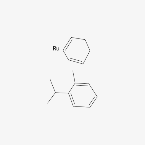 C1=CCCC=C1.Cc1ccccc1C(C)C.[Ru]